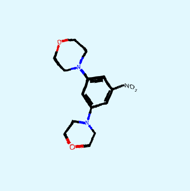 O=[N+]([O-])c1cc(N2CCOCC2)cc(N2CCOCC2)c1